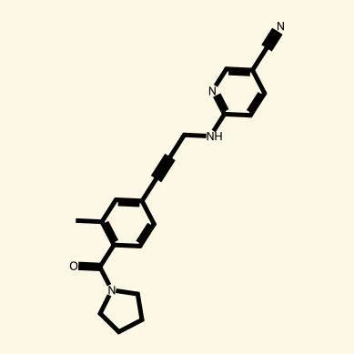 Cc1cc(C#CCNc2ccc(C#N)cn2)ccc1C(=O)N1CCCC1